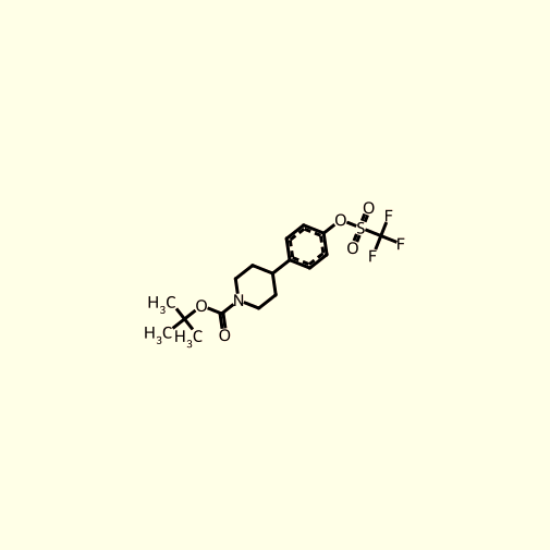 CC(C)(C)OC(=O)N1CCC(c2ccc(OS(=O)(=O)C(F)(F)F)cc2)CC1